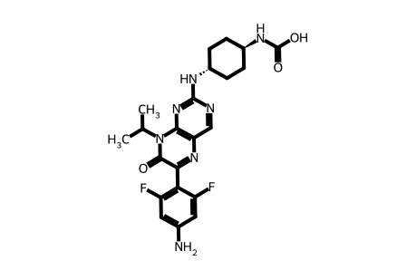 CC(C)n1c(=O)c(-c2c(F)cc(N)cc2F)nc2cnc(N[C@H]3CC[C@H](NC(=O)O)CC3)nc21